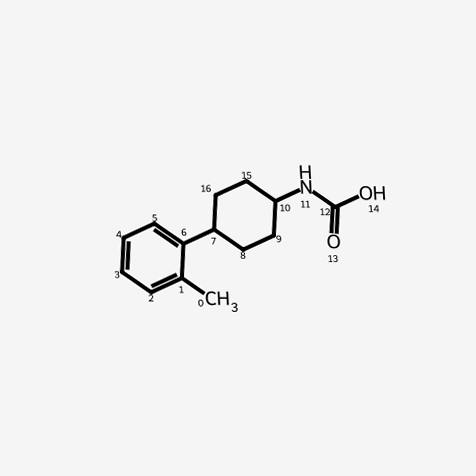 Cc1ccccc1C1CCC(NC(=O)O)CC1